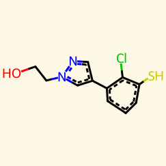 OCCn1cc(-c2cccc(S)c2Cl)cn1